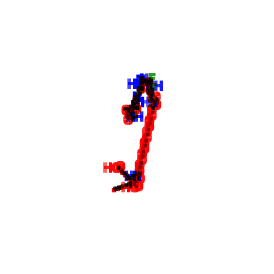 CCCCCCCCCCCN(C(=O)CCCCCCCCCC(=O)O)C(CCC(=O)NCCOCCOCCOCCOCCOCCOCCOCCOCCOCCOCCOCCOCCC(=O)N[C@@H](C)C(=O)OC(C)(C)c1ccc(C(=O)Nc2cc(F)cc(-c3ncnc4[nH]c(-c5ccc(CCN6CCC7(CC6)CCN(C(=O)c6ccc(OC)c(N8CCC(=O)NC8=O)c6)CC7)cc5)cc34)c2C)c(F)c1)C(=O)O